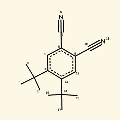 CC(C)(C)c1cc(C#N)c(C#N)cc1C(C)(C)C